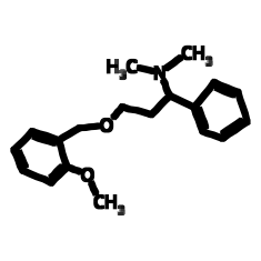 COc1ccccc1COCCC(c1ccccc1)N(C)C